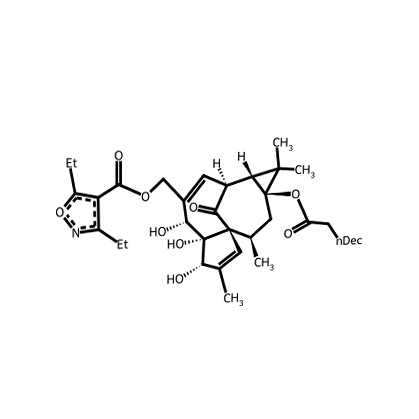 CCCCCCCCCCCC(=O)O[C@@]12C[C@@H](C)[C@]34C=C(C)[C@H](O)[C@@]3(O)[C@H](O)C(COC(=O)c3c(CC)noc3CC)=C[C@H](C4=O)[C@@H]1C2(C)C